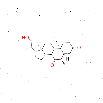 C[C@H](CO)[C@H]1CCC2C3C(=O)[C@H](C)[C@@H]4CC(=O)CC[C@]4(C)C3CC[C@@]21C